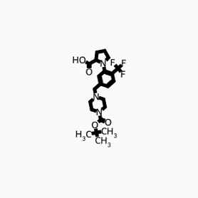 CC(C)(C)OC(=O)N1CCN(Cc2ccc(C(F)(F)F)c(N3CCCC3C(=O)O)c2)CC1